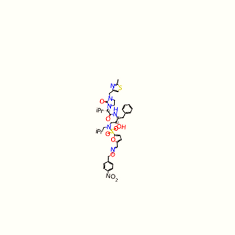 Cc1nc(CN2CCN([C@H](C(=O)N[C@@H](Cc3ccccc3)[C@@H](O)CN(CC(C)C)S(=O)(=O)c3ccc(C=NOCc4ccc([N+](=O)[O-])cc4)o3)C(C)C)C2=O)cs1